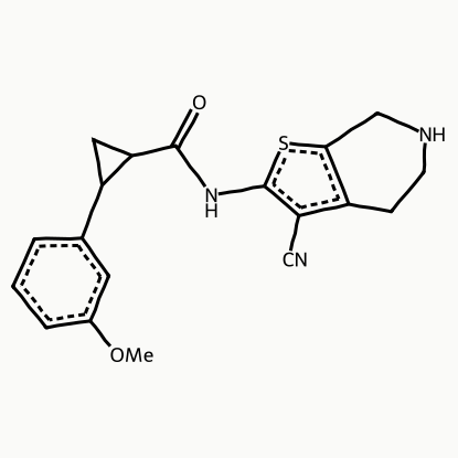 COc1cccc(C2CC2C(=O)Nc2sc3c(c2C#N)CCNC3)c1